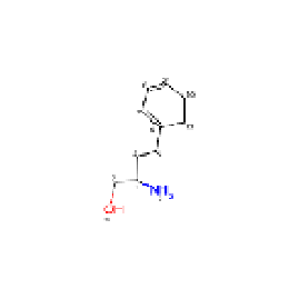 N[C@@H](CO)CCc1ccccc1